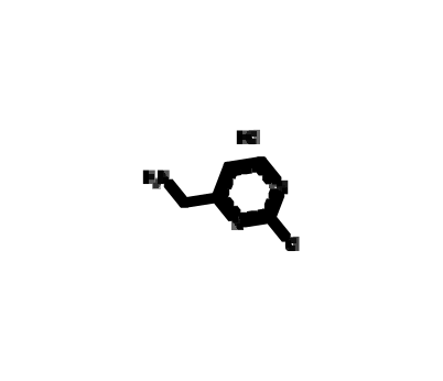 Cl.NCc1ccnc(Cl)n1